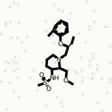 CC[C@@H](CN1CCCC(NS(C)(=O)=O)C1COC)Oc1ccccc1C